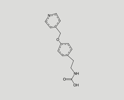 O=C(O)NCCc1ccc(OCc2ccncc2)cc1